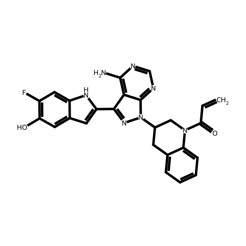 C=CC(=O)N1CC(n2nc(-c3cc4cc(O)c(F)cc4[nH]3)c3c(N)ncnc32)Cc2ccccc21